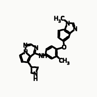 Cc1cc(Nc2ncnn3ccc(C4CNC4)c23)ccc1Oc1ccc2c(c1)ncn2C